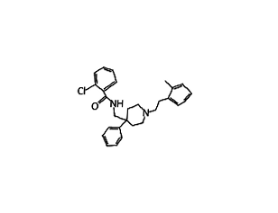 Cc1ccccc1CCN1CCC(CNC(=O)c2ccccc2Cl)(c2ccccc2)CC1